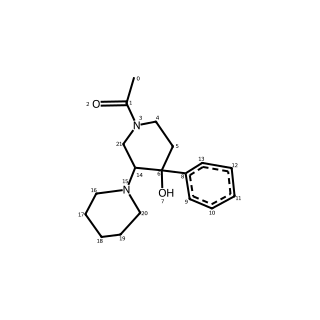 CC(=O)N1CCC(O)(c2ccccc2)C(N2CCCCC2)C1